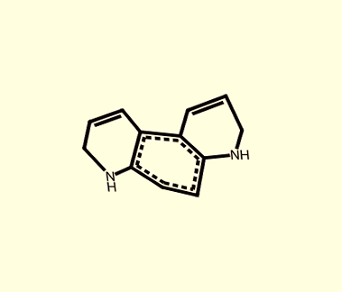 C1=Cc2c(ccc3c2C=CCN3)NC1